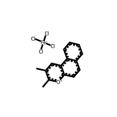 Cc1cc2c(ccc3ccccc32)[o+]c1C.[Cl][Fe-]([Cl])([Cl])[Cl]